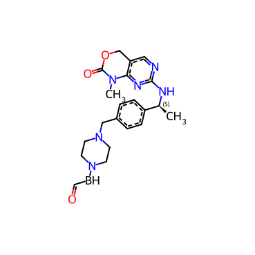 C[C@H](Nc1ncc2c(n1)N(C)C(=O)OC2)c1ccc(CN2CCN(BC=O)CC2)cc1